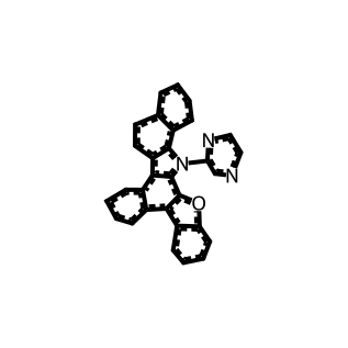 c1ccc2c(c1)ccc1c3c4ccccc4c4c5ccccc5oc4c3n(-c3cnccn3)c21